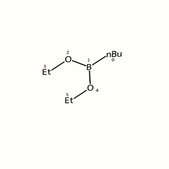 CCCCB(OCC)OCC